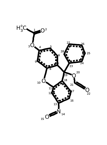 CC(=O)Oc1ccc2c(c1)Oc1cc(N=O)ccc1C2(OC=O)c1ccccc1